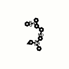 C1=CC2C[C@H]2C=C1c1nc(-c2ccccc2)nc(-c2ccc3oc(-c4cccc(-c5ccc6c(c5)c5ccccc5n6-c5nc6ccccc6o5)c4)nc3c2)n1